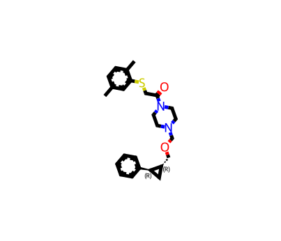 Cc1ccc(C)c(SCC(=O)N2CCN(COC[C@@H]3C[C@H]3c3ccccc3)CC2)c1